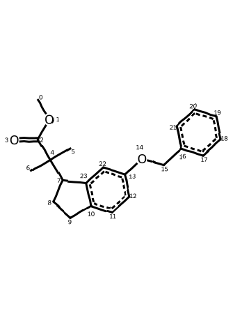 COC(=O)C(C)(C)C1CCc2ccc(OCc3ccccc3)cc21